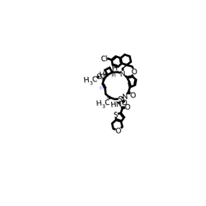 CO[C@H]1/C=C/C[C@H](C)CS(=O)(NC(=O)c2cc3c(s2)CCOC3)=NC(=O)c2ccc3c(c2)N(C[C@@H]2CC[C@H]21)C[C@@]1(CCCc2cc(Cl)ccc21)CO3